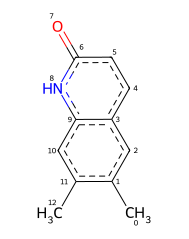 Cc1cc2ccc(=O)[nH]c2cc1C